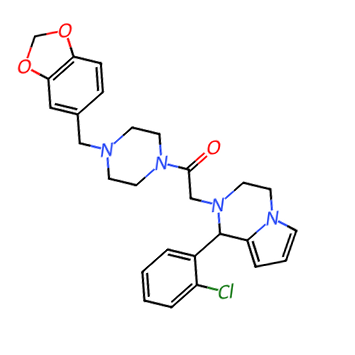 O=C(CN1CCn2cccc2C1c1ccccc1Cl)N1CCN(Cc2ccc3c(c2)OCO3)CC1